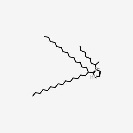 CCCCCCCCCCCCCCCC(CCCCCCCCCCCCCC)c1[nH]cc[n+]1C(C)CCCCCC